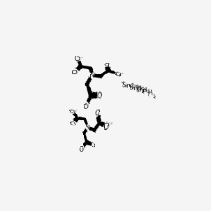 O=C([O-])CN(CC(=O)[O-])CC(=O)[O-].O=C([O-])CN(CC(=O)[O-])CC(=O)[O-].[SnH2+2].[SnH2+2].[SnH2+2]